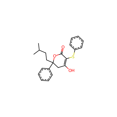 CC(C)CCC1(c2ccccc2)CC(O)=C(Sc2ccccc2)C(=O)O1